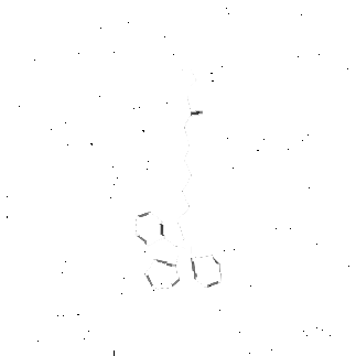 CCOC(=O)CCCCCCCC[PH](c1ccccc1)(c1ccccc1)c1ccccc1